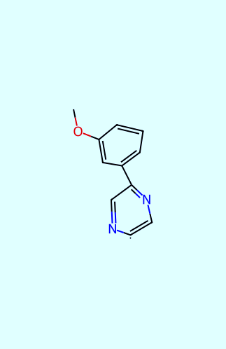 COc1cccc(-c2cn[c]cn2)c1